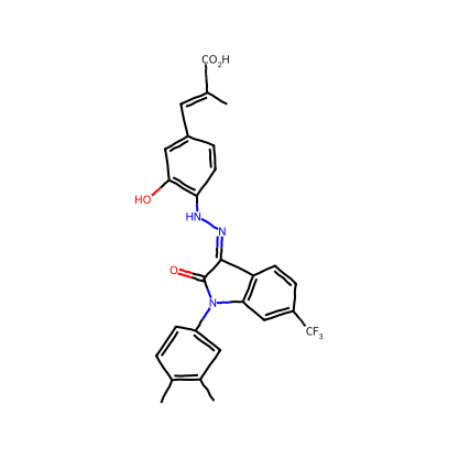 CC(=Cc1ccc(NN=C2C(=O)N(c3ccc(C)c(C)c3)c3cc(C(F)(F)F)ccc32)c(O)c1)C(=O)O